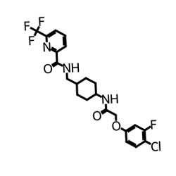 O=C(COc1ccc(Cl)c(F)c1)NC1CCC(CNC(=O)c2cccc(C(F)(F)F)n2)CC1